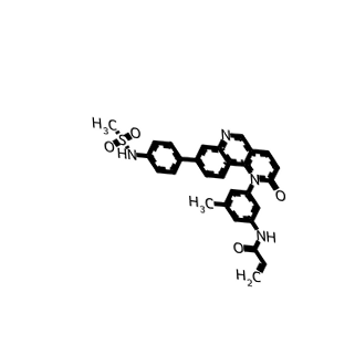 C=CC(=O)Nc1cc(C)cc(-n2c(=O)ccc3cnc4cc(-c5ccc(NS(C)(=O)=O)cc5)ccc4c32)c1